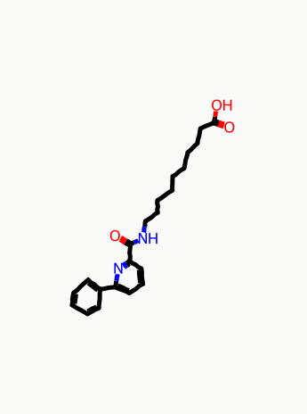 O=C(O)CCCCCCCCCNC(=O)c1cccc(-c2ccccc2)n1